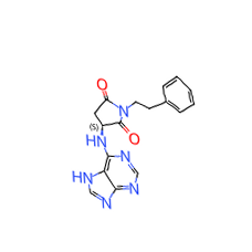 O=C1C[C@H](Nc2ncnc3nc[nH]c23)C(=O)N1CCc1ccccc1